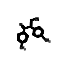 Cc1ccc(C(=O)C(=CC#N)c2ccc(C)cc2)cc1